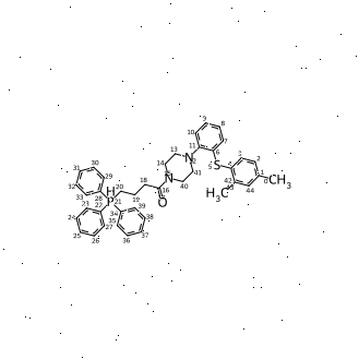 Cc1ccc(Sc2ccccc2N2CCN(C(=O)CCC[PH](c3ccccc3)(c3ccccc3)c3ccccc3)CC2)c(C)c1